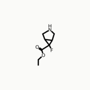 CCOC(=O)C1(F)C2CNCC21